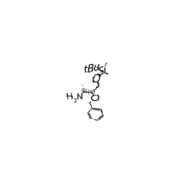 C[C@@H](N)[C@@H](CO[Si](C)(C)C(C)(C)C)OCc1ccccc1